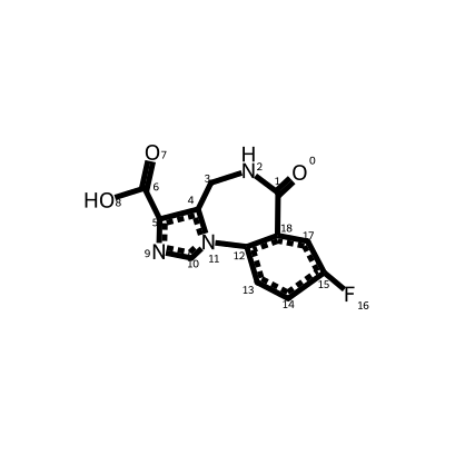 O=C1NCc2c(C(=O)O)ncn2-c2ccc(F)cc21